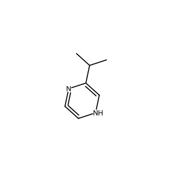 CC(C)C1=CNC=C=N1